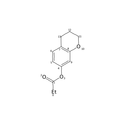 CCC(=O)Oc1ccc2c(c1)OCCC2